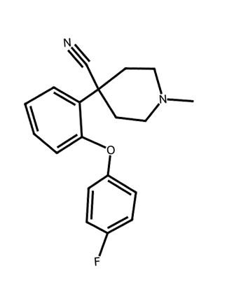 CN1CCC(C#N)(c2ccccc2Oc2ccc(F)cc2)CC1